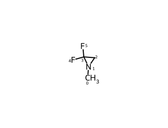 CN1CC1(F)F